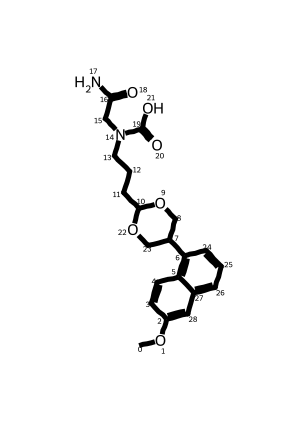 COc1ccc2c(C3COC(CCCN(CC(N)=O)C(=O)O)OC3)cccc2c1